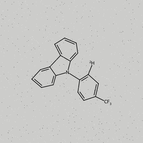 [2H]c1cc(C(F)(F)F)ccc1-n1c2ccccc2c2ccccc21